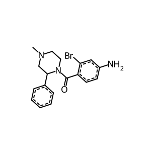 CN1CCN(C(=O)c2ccc(N)cc2Br)C(c2ccccc2)C1